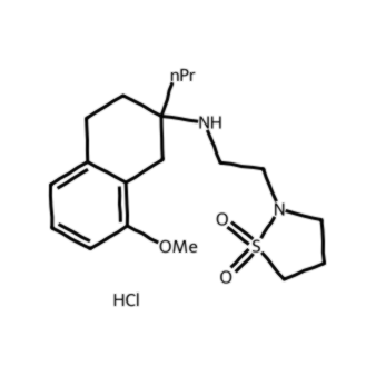 CCCC1(NCCN2CCCS2(=O)=O)CCc2cccc(OC)c2C1.Cl